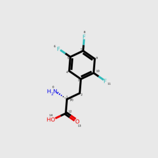 N[C@H](Cc1cc(F)c(F)cc1F)C(=O)O